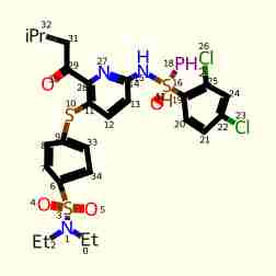 CCN(CC)S(=O)(=O)c1ccc(Sc2ccc(N[SH](=O)(P)c3ccc(Cl)cc3Cl)nc2C(=O)CC(C)C)cc1